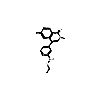 CCSNc1cccc(-c2cn(C)c(=O)c3ccc(C)cc23)c1